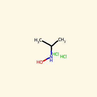 CC(C)NO.Cl.Cl